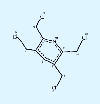 ClCc1cc(CCl)c(CCl)nc1CCl